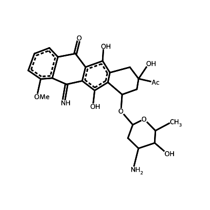 COc1cccc2c1C(=N)c1c(O)c3c(c(O)c1C2=O)CC(O)(C(C)=O)CC3OC1CC(N)C(O)C(C)O1